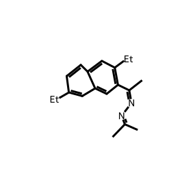 CCc1ccc2cc(CC)c(/C(C)=N\N=C(C)C)cc2c1